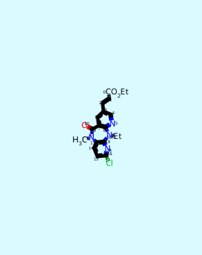 CCOC(=O)C=Cc1cnc2c(c1)C(=O)N(C)c1ccc(Cl)nc1N2CC